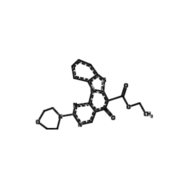 CCOC(=O)c1c(=O)c2cnc(N3CCOCC3)nc2n2c1sc1ccccc12